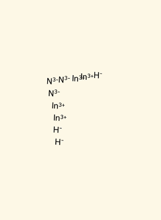 [H-].[H-].[H-].[In+3].[In+3].[In+3].[In+3].[N-3].[N-3].[N-3]